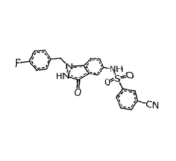 N#Cc1cccc(S(=O)(=O)Nc2ccc3c(c2)c(=O)[nH]n3Cc2ccc(F)cc2)c1